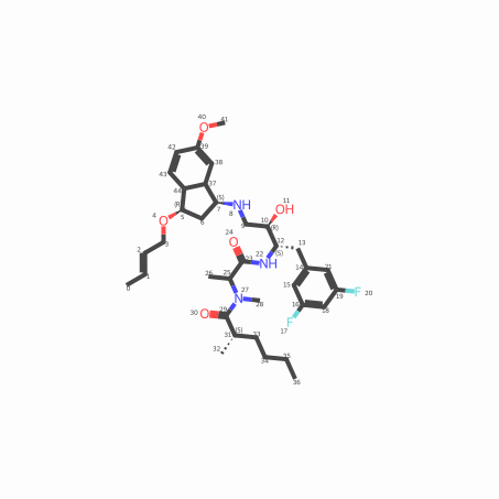 CC=CCO[C@@H]1C[C@H](NC[C@@H](O)[C@H](Cc2cc(F)cc(F)c2)NC(=O)C(C)N(C)C(=O)[C@@H](C)CCCC)C2C=C(OC)C=CC21